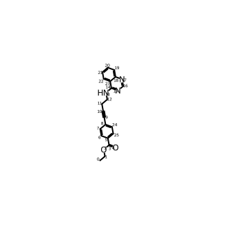 CCOC(=O)c1ccc(C#CCCNc2ncnc3ccccc23)cc1